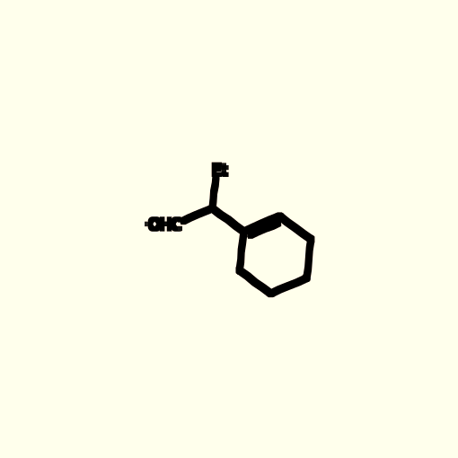 CCC([C]=O)C1=CCCCC1